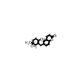 CC1=C(Cc2ccc3oc(=O)ccc3c2)CC(C)(C)CC1